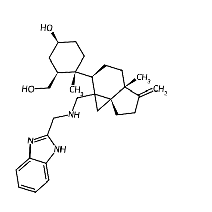 C=C1CC[C@@]23CC2(CNCc2nc4ccccc4[nH]2)[C@@H]([C@@]2(C)CC[C@H](O)C[C@@H]2CO)CC[C@]13C